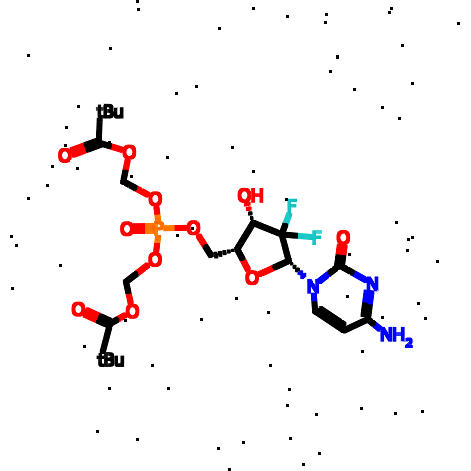 CC(C)(C)C(=O)OCOP(=O)(OCOC(=O)C(C)(C)C)OC[C@H]1O[C@@H](n2ccc(N)nc2=O)C(F)(F)[C@H]1O